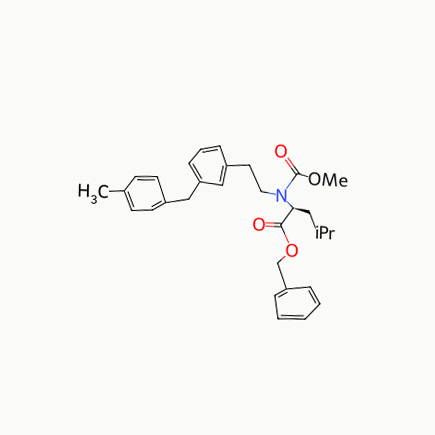 COC(=O)N(CCc1cccc(Cc2ccc(C)cc2)c1)[C@@H](CC(C)C)C(=O)OCc1ccccc1